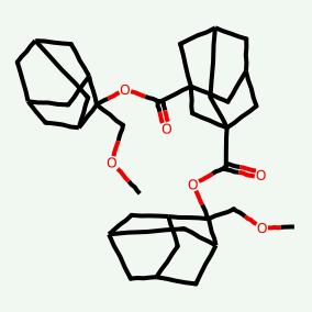 COCC1(OC(=O)C23CC4CC(C2)CC(C(=O)OC2(COC)C5CC6CC(C5)CC2C6)(C4)C3)C2CC3CC(C2)CC1C3